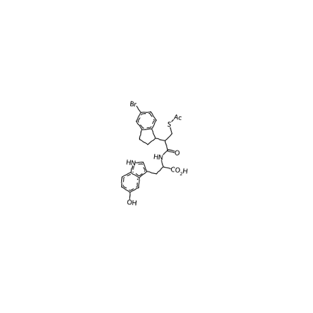 CC(=O)SCC(C(=O)NC(Cc1c[nH]c2ccc(O)cc12)C(=O)O)C1CCc2cc(Br)ccc21